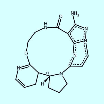 Nc1nn2ccc3nc2c1C(=O)NCCOC1=NC=CCC1[C@H]1CCCN31